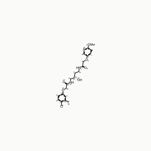 COc1ccc(OCC(=O)NCC[C@H](O)CNC(=O)COc2ccc(Cl)c(F)c2)cn1